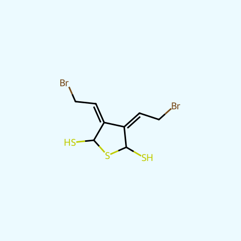 SC1SC(S)C(=CCBr)C1=CCBr